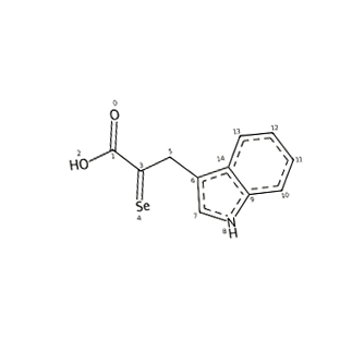 O=C(O)C(=[Se])Cc1c[nH]c2ccccc12